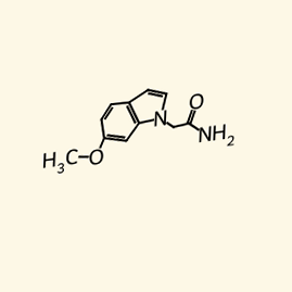 COc1ccc2ccn(CC(N)=O)c2c1